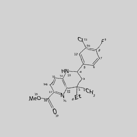 CCC1(C)CC(c2ccc(F)c(Cl)c2)Nc2ccc(C(=O)OC)nc21